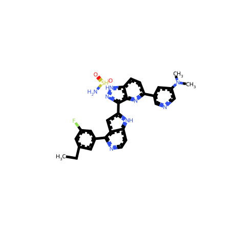 CCc1cc(F)cc(-c2nccc3[nH]c(-c4n[nH]c5ccc(-c6cncc(N(C)C)c6)nc45)cc23)c1.N[SH](=O)=O